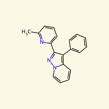 Cc1cccc(-c2nn3ccccc3c2-c2ccccc2)n1